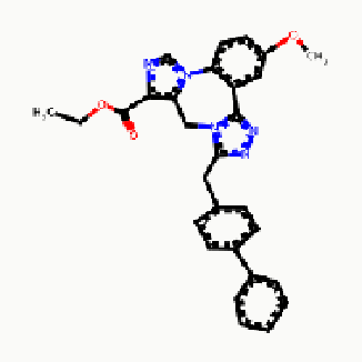 CCOC(=O)c1ncn2c1Cn1c(Cc3ccc(-c4ccccc4)cc3)nnc1-c1cc(OC)ccc1-2